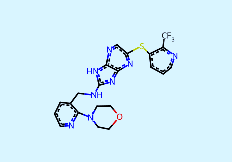 FC(F)(F)c1ncccc1Sc1cnc2[nH]c(NCc3cccnc3N3CCOCC3)nc2n1